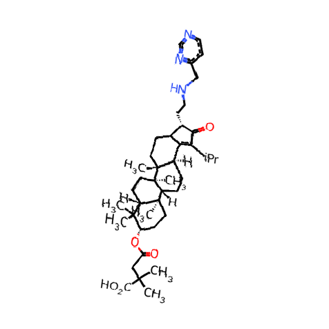 CC(C)C1=C2C(CC[C@]3(C)[C@@H]2CC[C@@H]2[C@@]4(C)CC[C@H](OC(=O)CC(C)(C)C(=O)O)C(C)(C)[C@@H]4CC[C@]23C)[C@H](CCNCc2ccncn2)C1=O